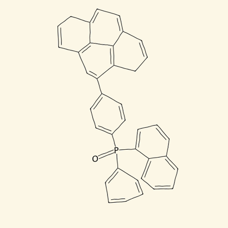 O=P(c1ccccc1)(c1ccc(-c2cc3c4c(ccc5c4c2CC=C5)CC=C3)cc1)c1cccc2ccccc12